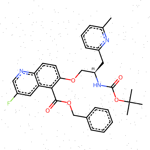 Cc1cccc(C[C@H](COc2ccc3ncc(F)cc3c2C(=O)OCc2ccccc2)NC(=O)OC(C)(C)C)n1